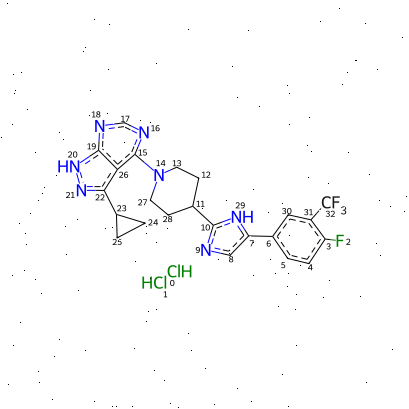 Cl.Cl.Fc1ccc(-c2cnc(C3CCN(c4ncnc5[nH]nc(C6CC6)c45)CC3)[nH]2)cc1C(F)(F)F